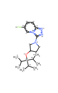 CC(C)[Si](OC1CCN(c2nnc3ccc(F)cn23)C1)(C(C)C)C(C)C